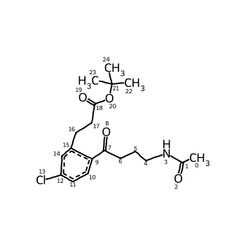 CC(=O)NCCCC(=O)c1ccc(Cl)cc1CCC(=O)OC(C)(C)C